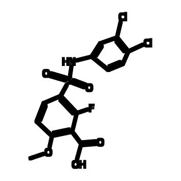 COc1ccc(S(=O)(=O)Nc2ccc(Cl)c(Cl)c2)c(F)c1C(=O)O